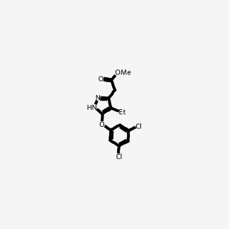 CCc1c(CC(=O)OC)n[nH]c1Oc1cc(Cl)cc(Cl)c1